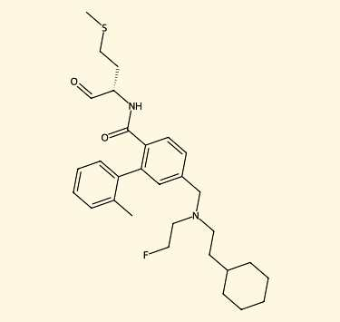 CSCC[C@@H](C=O)NC(=O)c1ccc(CN(CCF)CCC2CCCCC2)cc1-c1ccccc1C